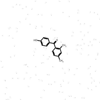 Cc1ccc(C(=O)c2ccc(O)cc2)c(C)c1